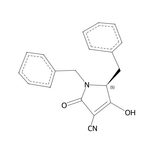 N#CC1=C(O)[C@H](Cc2ccccc2)N(Cc2ccccc2)C1=O